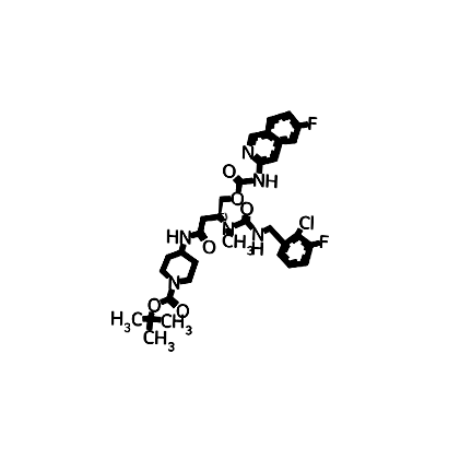 CN(C(=O)NCc1cccc(F)c1Cl)[C@H](COC(=O)Nc1cc2cc(F)ccc2cn1)CC(=O)NC1CCN(C(=O)OC(C)(C)C)CC1